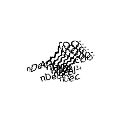 CCCCCCCCCCCCCCCCCC(=O)[O-].CCCCCCCCCCCCCCCCCC(=O)[O-].CCCCCCCCCCCCCCCCCC(=O)[O-].CCCCCCCCCCCCCCCCCC(=O)[O-].CCCCCCCCCCCCCCCCCC(=O)[O-].CCCCCCCCCCCCCCCCCC(=O)[O-].[Al+3].[Al+3]